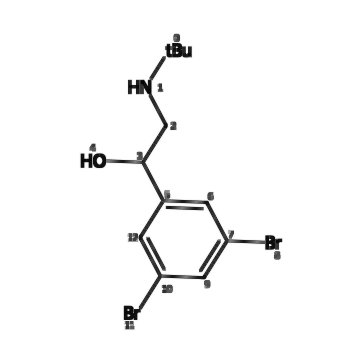 CC(C)(C)NCC(O)c1cc(Br)cc(Br)c1